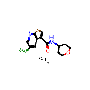 C.O=C(NC1CCOCC1)c1csc2ncc(Br)cc12